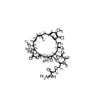 COc1cc2cc(c1Cl)N(C)C(=O)C[C@H](OC(=O)C(C)N(C)C(=O)COCC(=O)NN)[C@]1(C)O[C@H]1[C@H](C)[C@@H]1C[C@@](O)(NC(=O)O1)[C@H](OC)/C=C/C=C(\C)C2